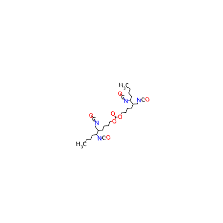 CCCCC(N=C=O)C(CCCCOC(=O)OCCCCC(CN=C=O)C(CCCC)N=C=O)CN=C=O